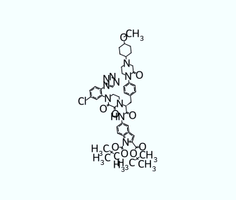 COC1CCC(N2CCN(c3ccc(C[C@@H](C(=O)Nc4ccc5c(c4)cc(C(=O)OC(C)(C)C)n5C(=O)OC(C)(C)C)N4CCN(c5cc(Cl)ccc5-n5cnnn5)C(=O)C4=O)cc3)C(=O)C2)CC1